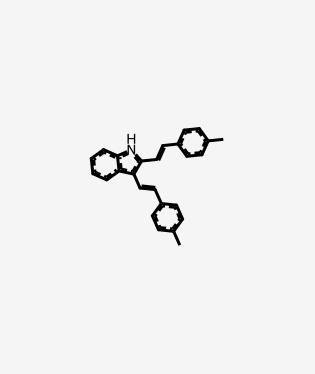 Cc1ccc(/C=C/c2[nH]c3ccccc3c2/C=C/c2ccc(C)cc2)cc1